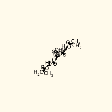 C=C(C)C(=O)OCCNC(=O)OCC(COC(=O)NCCOC(=O)C(=C)C)OP(=O)(O)O